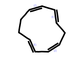 C1=C\CC/C=C/C=C\C/C=C/1